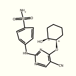 N#Cc1cnc(Nc2ccc(S(N)(=O)=O)cc2)nc1O[C@@H]1CCCC[C@@H]1O